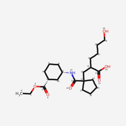 CCOC(=O)[C@@H]1CCC[C@H](NC(=O)C2(CC(CCCCO)C(=O)O)CCCC2)C1